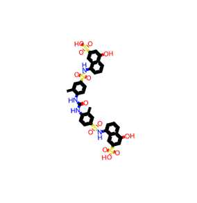 Cc1cc(S(=O)(=O)Nc2cccc3c(O)cc(S(=O)(=O)O)cc23)ccc1NC(=O)Nc1ccc(S(=O)(=O)Nc2cccc3c(O)cc(S(=O)(=O)O)cc23)cc1C